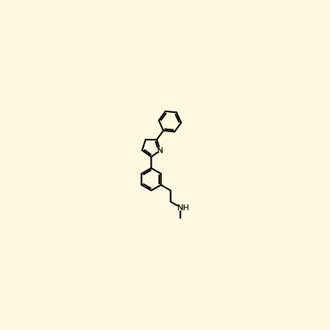 CNCCc1cccc(C2=CCC(c3ccccc3)=N2)c1